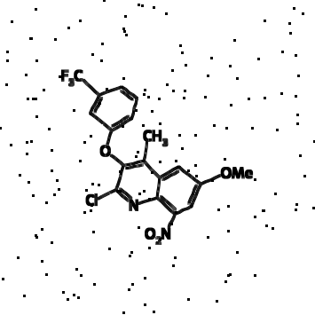 COc1cc([N+](=O)[O-])c2nc(Cl)c(Oc3cccc(C(F)(F)F)c3)c(C)c2c1